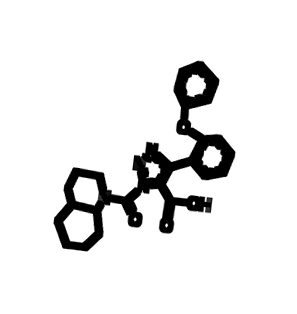 O=C(O)c1c(-c2ccccc2Oc2ccccc2)nnn1C(=O)N1CCCC2CCCCC21